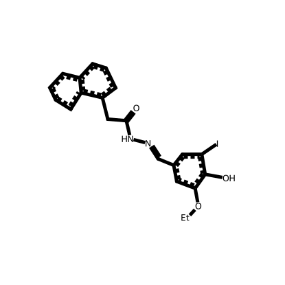 CCOc1cc(/C=N/NC(=O)Cc2cccc3ccccc23)cc(I)c1O